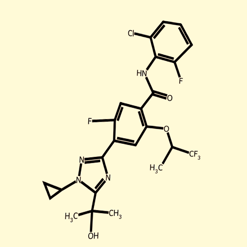 CC(Oc1cc(-c2nc(C(C)(C)O)n(C3CC3)n2)c(F)cc1C(=O)Nc1c(F)cccc1Cl)C(F)(F)F